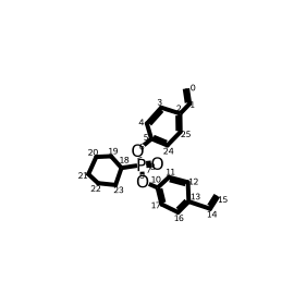 C=Cc1ccc(OP(=O)(Oc2ccc(C=C)cc2)C2CCCCC2)cc1